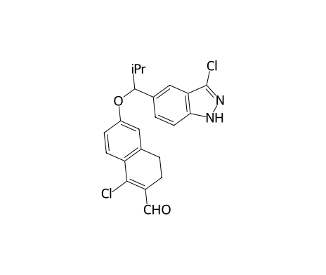 CC(C)C(Oc1ccc2c(c1)CCC(C=O)=C2Cl)c1ccc2[nH]nc(Cl)c2c1